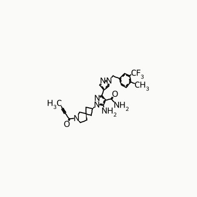 CC#CC(=O)N1CC[C@]2(C1)C[C@H](n1nc(-c3cnn(Cc4ccc(C)c(C(F)(F)F)c4)c3)c(C(N)=O)c1N)C2